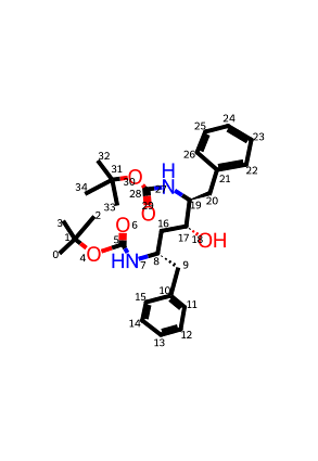 CC(C)(C)OC(=O)N[C@@H](Cc1ccccc1)C[C@@H](O)[C@H](Cc1ccccc1)NC(=O)OC(C)(C)C